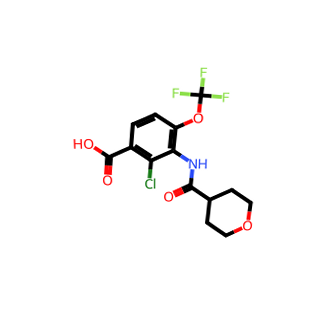 O=C(O)c1ccc(OC(F)(F)F)c(NC(=O)C2CCOCC2)c1Cl